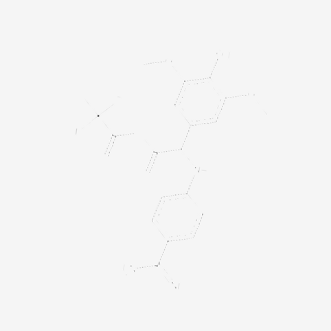 COc1cc(C(Nc2ccc(C(=N)N)cc2)C(=O)OC(=O)C(F)(F)F)cc(OC)c1O